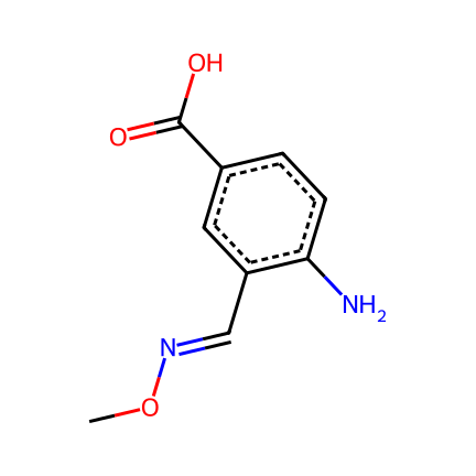 CON=Cc1cc(C(=O)O)ccc1N